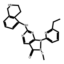 CCc1cccc(-n2c3nc(Nc4cccc5c4CCNC5)ncc3c(=O)n2CC)n1